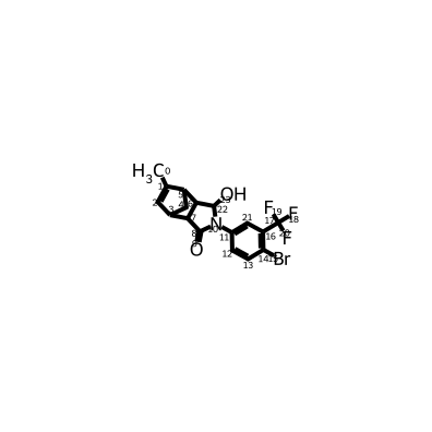 CC1=CC2CC1C1C2C(=O)N(c2ccc(Br)c(C(F)(F)F)c2)C1O